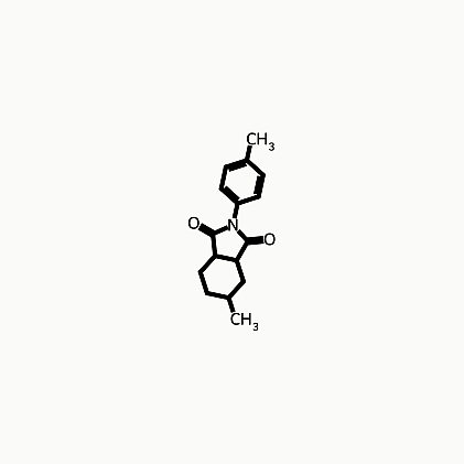 Cc1ccc(N2C(=O)C3CCC(C)CC3C2=O)cc1